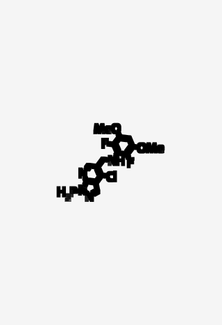 COc1cc(OC)c(F)c(NCc2cnc3c(cnn3P)c2Cl)c1F